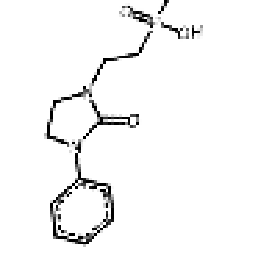 COP(=O)(O)CCN1CCN(c2ccccc2)C1=O